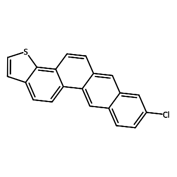 Clc1ccc2cc3c(ccc4c3ccc3ccsc34)cc2c1